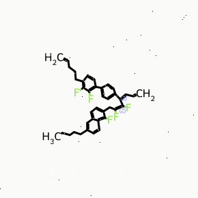 C=C/C=C(\C(F)=C(\F)Cc1ccc2cc(CCCCC)ccc2c1F)c1ccc(-c2ccc(CCCC=C)c(F)c2F)cc1